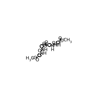 CCOC(=O)c1ccc(NC(=O)Nc2ccc(S(=O)(=O)Oc3cccc(NC(=O)Nc4ccc(C(=O)OCC)cc4)c3)cc2)cc1